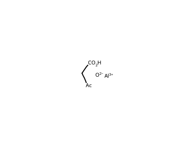 CC(=O)CC(=O)O.[Al+3].[O-2]